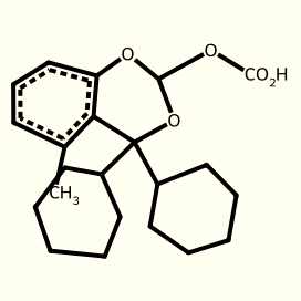 Cc1cccc2c1C(C1CCCCC1)(C1CCCCC1)OC(OC(=O)O)O2